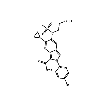 CCOC(=O)CCN(c1cc2nn(-c3ccc(Br)cc3)c(C(=O)NC)c2cc1C1CC1)S(C)(=O)=O